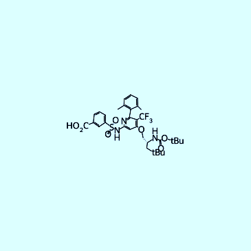 Cc1cccc(C)c1-c1nc(NS(=O)(=O)c2cccc(C(=O)O)c2)cc(OC[C@@H](CC(C)(C)C)NC(=O)OC(C)(C)C)c1C(F)(F)F